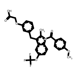 COc1ccc(C(=O)n2c(C)c(Cc3cccc(OCC(=O)O)c3)c3cc(OC(F)(F)F)ccc32)cc1